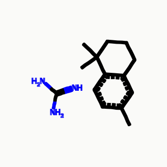 Cc1ccc2c(c1)CCCC2(C)C.N=C(N)N